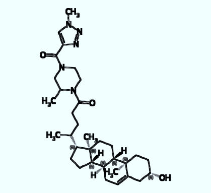 CC(CCC(=O)N1CCN(C(=O)c2cn(C)nn2)CC1C)[C@H]1CC[C@H]2[C@@H]3CC=C4C[C@@H](O)CC[C@]4(C)[C@H]3CC[C@]12C